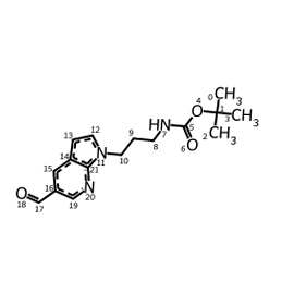 CC(C)(C)OC(=O)NCCCn1ccc2cc(C=O)cnc21